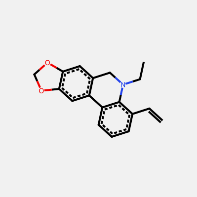 C=Cc1cccc2c1N(CC)Cc1cc3c(cc1-2)OCO3